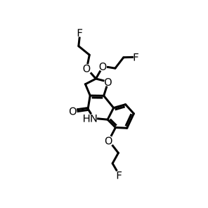 O=c1[nH]c2c(OCCF)cccc2c2c1CC(OCCF)(OCCF)O2